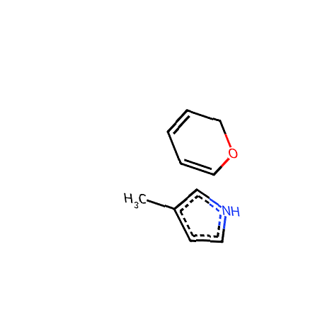 C1=CCOC=C1.Cc1cc[nH]c1